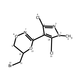 Cn1nc(Cl)c(C2=NOCC(CBr)O2)c1Cl